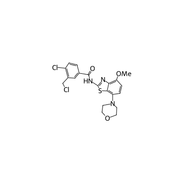 COc1ccc(N2CCOCC2)c2sc(NC(=O)c3ccc(Cl)c(CCl)c3)nc12